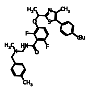 Cc1ccc(CN(C)CNC(=O)c2c(F)ccc(OC(C)c3nc(C)c(-c4ccc(C(C)(C)C)cc4)s3)c2F)cc1